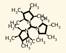 C[C@@H]1[C@H](C)[C@H](C)N(C(N2[C@H](C)[C@H](C)[C@H](C)[C@@H]2C)N2[C@H](C)[C@H](C)[C@H](C)[C@@H]2C)[C@@H]1C